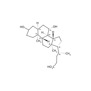 C[C@H](CCC(=O)O)[C@H]1CC[C@H]2[C@@H]3[C@@H](O)C[C@@H]4CC(O)CC[C@]4(C)[C@H]3CC[C@]12C